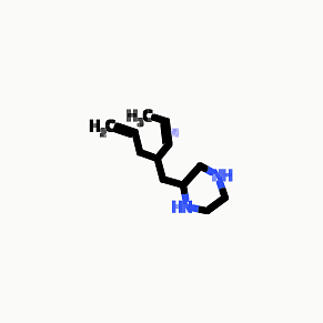 C=CCC(/C=C\C)CC1CNCCN1